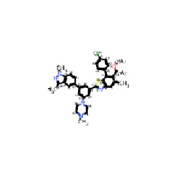 CC(=O)[C@@H](OC(C)(C)C)c1c(C)cc2nc(-c3cc(-c4ccc5c(c4)c(C)nn5C)cc(N4CCN(C)CC4)c3)sc2c1-c1ccc(Cl)cc1